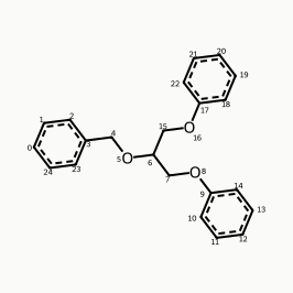 c1ccc(COC(COc2ccccc2)COc2ccccc2)cc1